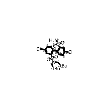 CC(C)(C)CN(CC(C)(C)C)S(=O)(=O)c1cc(Cl)ccc1-c1ccc(Cl)cc1S(N)(=O)=O